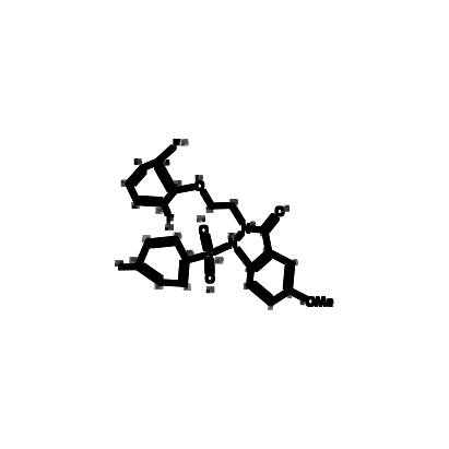 COc1ccc2c(c1)c(=O)n(CCOc1c(F)cccc1F)n2S(=O)(=O)c1ccc(C)cc1